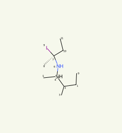 CCC(C)[SiH](C)N[C@@](C)(I)CC